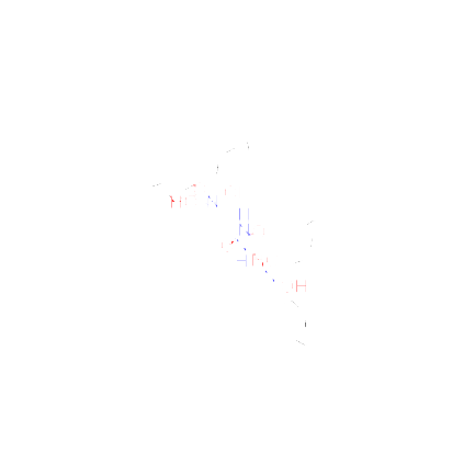 CC/C=C\C/C=C\C/C=C\OC(O)CN(CCCCC1NC(=O)C(CCCCN(CC(O)CC(C)/C=C\C/C=C\C/C=C\CC)CC(O)C(C)/C=C\C/C=C\C/C=C\CC)NC1=O)CC(O)C(C)/C=C\C/C=C\C/C=C\CC